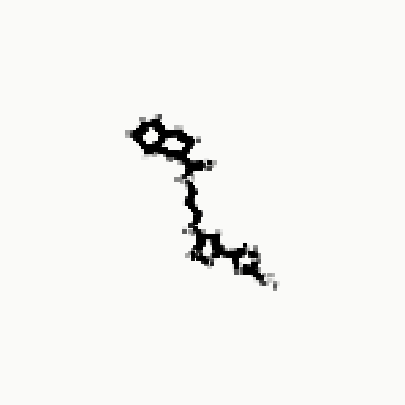 O=C(NCCCOc1cc(-c2noc(C(F)(F)F)n2)on1)c1ccc2ccccc2c1